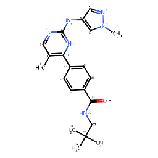 Cc1cnc(Nc2cnn(C)c2)nc1-c1ccc(C(=O)NCC(C)(C)C#N)cc1